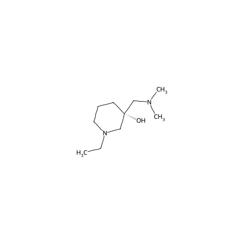 CCN1CCC[C@@](O)(CN(C)C)C1